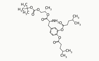 CC(C)CCC(=O)Oc1ccc(C[C@H](N)C(=O)O[C@@H](C)COC(=O)OC(C)(C)C)cc1OC(=O)CCC(C)C